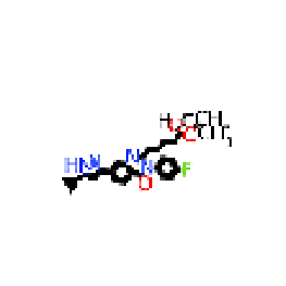 CC(C)(C)OC(=O)CCCCc1nc2cc(-c3cc(C4CC4)[nH]n3)ccc2c(=O)n1-c1ccc(F)cc1